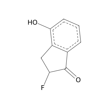 O=C1c2cccc(O)c2CC1F